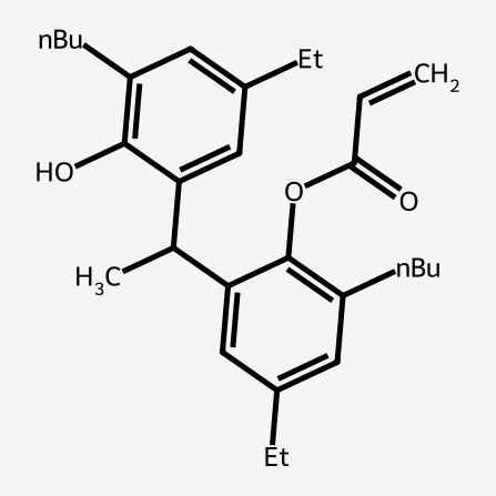 C=CC(=O)Oc1c(CCCC)cc(CC)cc1C(C)c1cc(CC)cc(CCCC)c1O